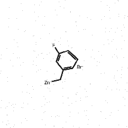 Fc1cccc([CH2][Zn+])c1.[Br-]